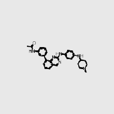 CC(=O)Nc1cccc(-c2cccc3cnc(Nc4ccc(NC5CCN(C)CC5)cc4)nc23)c1